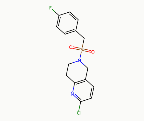 O=S(=O)(Cc1ccc(F)cc1)N1CCc2nc(Cl)ccc2C1